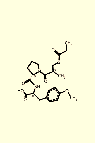 CCC(=O)SC[C@@H](C)C(=O)N1CCC[C@H]1C(=O)N[C@@H](Cc1ccc(OC)cc1)C(=O)O